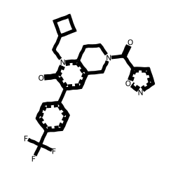 O=C(c1ccno1)N1CCc2c(cc(-c3ccc(C(F)(F)F)cc3)c(=O)n2CC2CCC2)C1